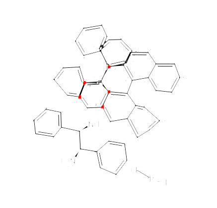 N[C@H](c1ccccc1)[C@H](N)c1ccccc1.[Cl][Ru][Cl].c1ccc(P(c2ccccc2)c2ccc3ccccc3c2-c2c(P(c3ccccc3)c3ccccc3)ccc3ccccc23)cc1